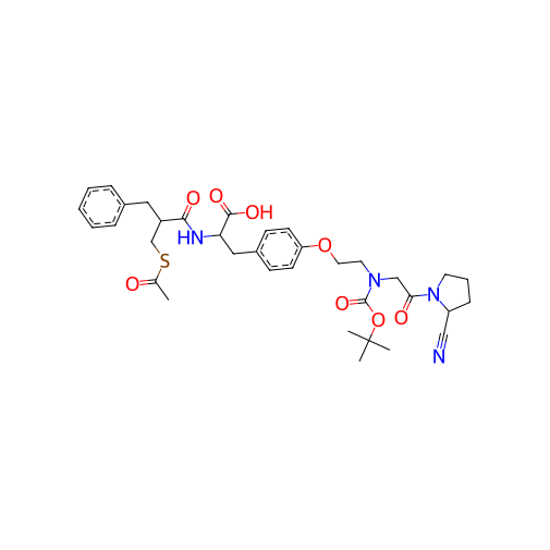 CC(=O)SCC(Cc1ccccc1)C(=O)NC(Cc1ccc(OCCN(CC(=O)N2CCCC2C#N)C(=O)OC(C)(C)C)cc1)C(=O)O